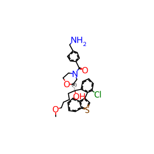 COCCCCC(O)(c1cccc(Cl)c1-c1csc2ccccc12)[C@H]1CN(C(=O)c2ccc(CN)cc2)CCO1